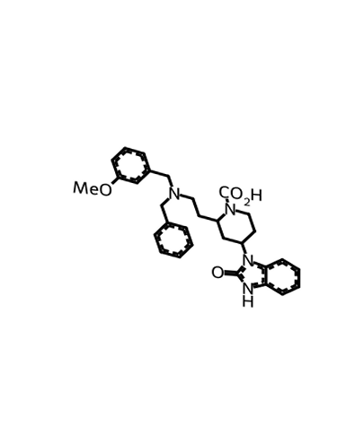 COc1cccc(CN(CCC2CC(n3c(=O)[nH]c4ccccc43)CCN2C(=O)O)Cc2ccccc2)c1